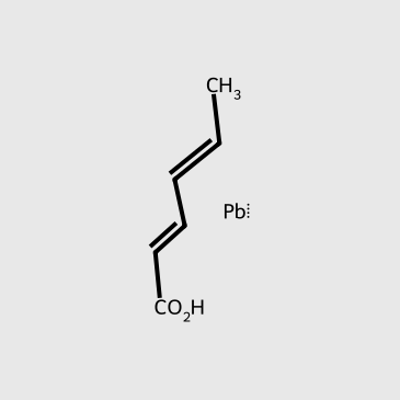 CC=CC=CC(=O)O.[Pb]